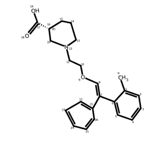 Cc1ccccc1C(=COCCN1CCC[C@@H](C(=O)O)C1)c1ccccc1